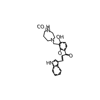 O=C1C(=Cc2c[nH]c3ccccc23)Oc2c1ccc(O)c2CN1CCCN(C(=O)O)CC1